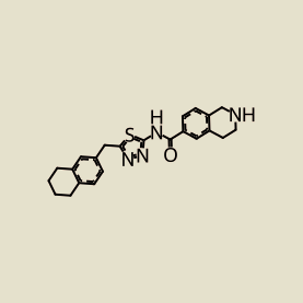 O=C(Nc1nnc(Cc2ccc3c(c2)CCCC3)s1)c1ccc2c(c1)CCNC2